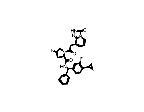 O=C(NC(c1ccccc1)c1ccc(C2CC2)c(F)c1)C1CC(F)CN1C(=O)Cc1cccn2c(=O)[nH]nc12